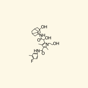 Cc1cc(NC(=O)c2c(C)c(C(O)C(=O)NC34CC5CC(CC(O)(C5)C3)C4)n(CCO)c2C)ccc1F